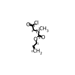 C=CCOC(=O)N(C)CC(=O)Cl